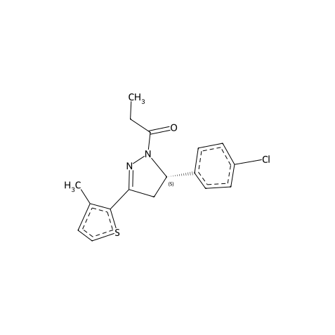 CCC(=O)N1N=C(c2sccc2C)C[C@H]1c1ccc(Cl)cc1